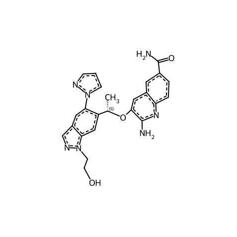 C[C@H](Oc1cc2cc(C(N)=O)ccc2nc1N)c1cc2c(cnn2CCO)cc1-n1cccn1